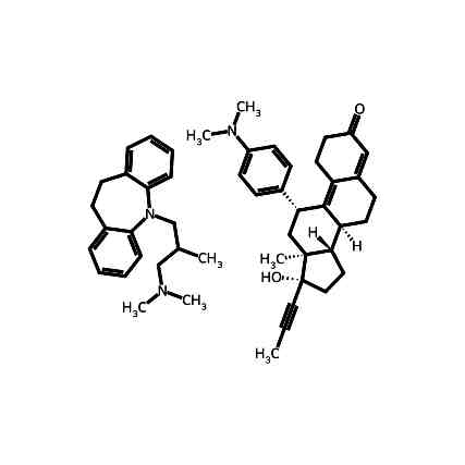 CC#C[C@]1(O)CC[C@H]2[C@@H]3CCC4=CC(=O)CCC4=C3[C@@H](c3ccc(N(C)C)cc3)C[C@@]21C.CC(CN(C)C)CN1c2ccccc2CCc2ccccc21